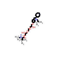 CCNC(C(=O)OCC(O)COCCOCC(O)COc1ccc2cc(C3C=C/C=C\C=C/C3)n(CC(C)C)c2c1)C(C)(C)C